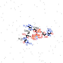 COCC[C@H]1[C@@H](O)[C@H](n2c[n+](C)c3c(=O)[nH]c(N)nc32)O[C@@H]1COP(=O)(O)OP(=O)(O)NP(=O)(O)OC[C@H]1O[C@@H](n2cnc3c(N)ncnc32)[C@H](OC)[C@@H]1OP(=O)(O)OC[C@H]1O[C@@H](n2cnc3c(=O)[nH]c(N)nc32)[C@H](O)[C@@H]1O